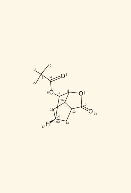 CC(C)(C)C(=O)OC1C2OC(=O)C3C[C@@H]1CC32